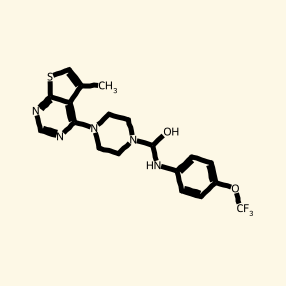 Cc1csc2ncnc(N3CCN(C(O)Nc4ccc(OC(F)(F)F)cc4)CC3)c12